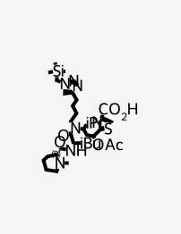 CCC(C)C(NC(=O)[C@H]1CCCCN1C)C(=O)N(CCCCc1cn(C[Si](C)(C)C)nn1)C(CC(OC(C)=O)c1nc(C(=O)O)cs1)C(C)C